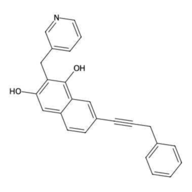 Oc1cc2ccc(C#CCc3ccccc3)cc2c(O)c1Cc1cccnc1